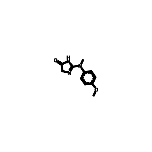 COc1ccc(N(C)C2=NCC(=O)N2)cc1